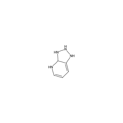 C1=CNC2NNNC2=C1